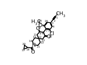 CC#Cc1cc(Cl)c(C2C(=O)CC3(CCN(C(=O)C4CC4)CC3)CC2=O)c(OC)c1